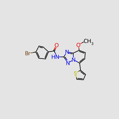 COc1ccc(-c2cccs2)n2nc(NC(=O)c3ccc(Br)cc3)nc12